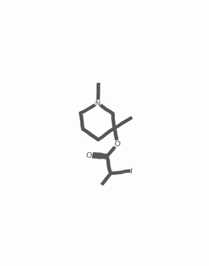 CC(I)C(=O)OC1(C)CCCN(C)C1